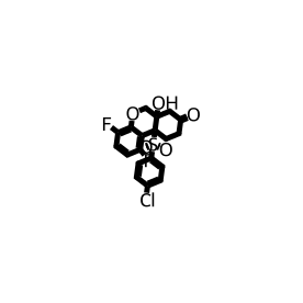 O=C1CCC2(S(=O)(=O)c3ccc(Cl)cc3)c3c(F)ccc(F)c3OCC2(O)C1